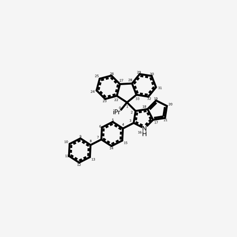 CC(C)C1(c2c(-c3ccc(-c4ccccc4)cc3)[nH]c3c2=CC=C=3)c2ccccc2-c2ccccc21